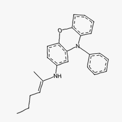 CCC/C=C(\C)Nc1ccc2c(c1)N(c1ccccc1)c1ccccc1O2